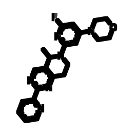 CC1c2cnc(-c3ccccn3)nc2CCN1c1cc(N2CCOCC2)cc(F)n1